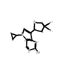 FC1(F)COC(c2cn(C3CC3)c3cnc(Cl)nc23)C1